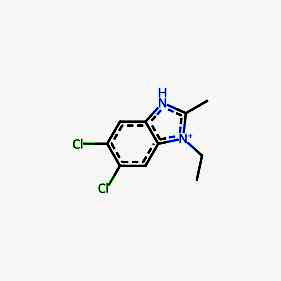 CC[n+]1c(C)[nH]c2cc(Cl)c(Cl)cc21